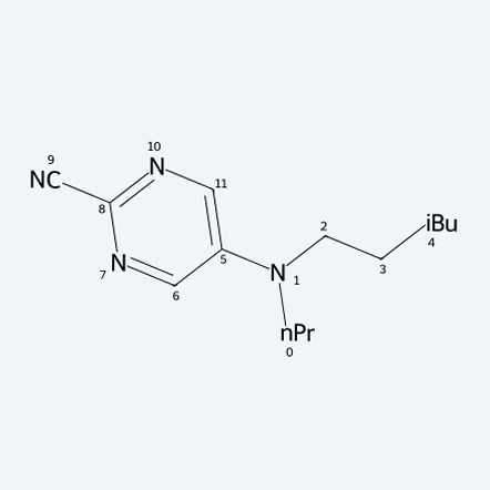 CCCN(CCC(C)CC)c1cnc(C#N)nc1